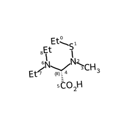 CCSN(C)[C@H](C(=O)O)N(CC)CC